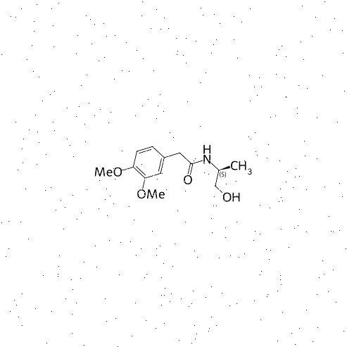 COc1ccc(CC(=O)N[C@@H](C)CO)cc1OC